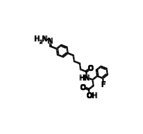 NN=Cc1ccc(CCCCC(=O)NC(CC(=O)O)c2ccccc2F)cc1